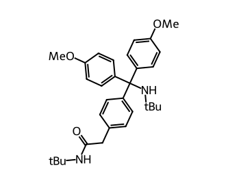 COc1ccc(C(NC(C)(C)C)(c2ccc(CC(=O)NC(C)(C)C)cc2)c2ccc(OC)cc2)cc1